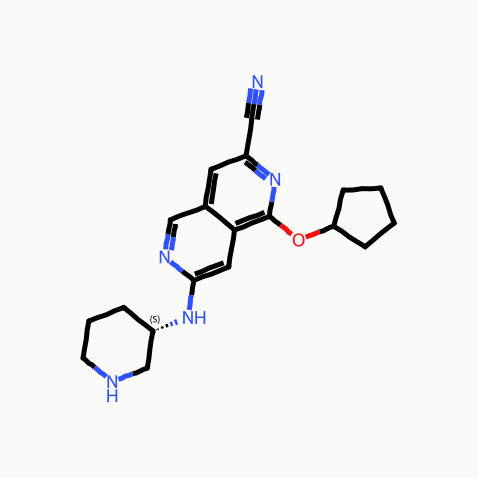 N#Cc1cc2cnc(N[C@H]3CCCNC3)cc2c(OC2CCCC2)n1